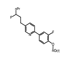 CCCCCCCCOc1ccc(-c2ccc(CCC(F)CCC)cn2)cc1F